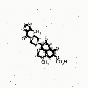 Cc1ncsc1C(=O)N1CCN(c2c(F)cc3c(=O)c(OC(=O)O)cn4c3c2OCN4C)CC1